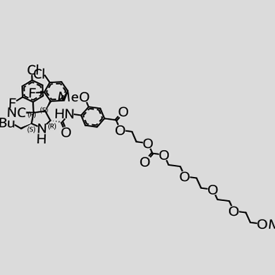 COCCOCCOCCOCCOC(=O)OCCOC(=O)c1ccc(NC(=O)[C@@H]2N[C@@H](CC(C)(C)C)[C@](C#N)(c3ccc(Cl)cc3F)[C@H]2c2cccc(Cl)c2F)c(OC)c1